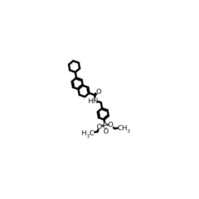 CCOP(=O)(OCC)c1ccc(CNC(=O)C2=Cc3cc(C4CCCCC4)ccc3CC2)cc1